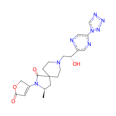 C[C@@H]1CC2(CCN(C[C@@H](O)c3cnc(-n4cnnn4)cn3)CC2)C(=O)N1C1=CC(=O)OC1